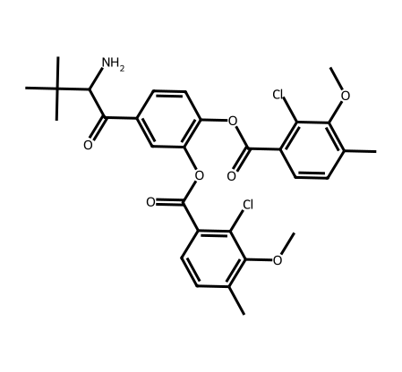 COc1c(C)ccc(C(=O)Oc2ccc(C(=O)C(N)C(C)(C)C)cc2OC(=O)c2ccc(C)c(OC)c2Cl)c1Cl